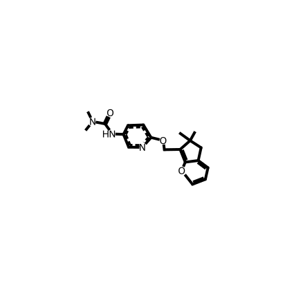 CN(C)C(=O)Nc1ccc(OCC2=C3OC=CC=C3CC2(C)C)nc1